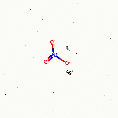 O=[N+]([O-])[O-].[Ag+].[Ti]